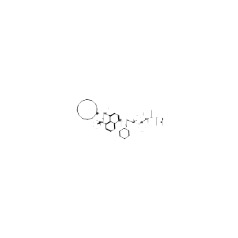 C=C(C)C(=O)OCCN(c1ccc2c3c(cccc13)C(=O)N(C1CCCCCCCCCCC1)C2=O)C1CCCCC1